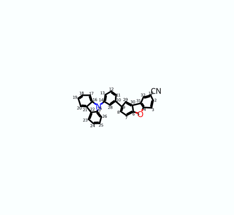 N#Cc1ccc2oc3ccc(-c4cccc(-n5c6ccccc6c6ccccc65)c4)cc3c2c1